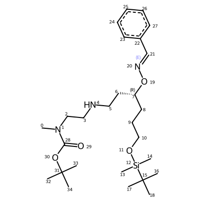 CN(CCNCC[C@@H](CCCO[Si](C)(C)C(C)(C)C)O/N=C/c1ccccc1)C(=O)OC(C)(C)C